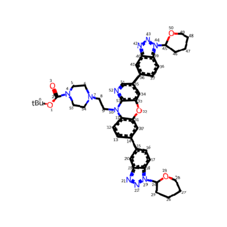 CC(C)(C)OC(=O)N1CCN(CCN2c3ccc(-c4ccc5c(c4)nnn5C4CCCCO4)cc3Oc3cc(-c4ccc5c(c4)nnn5C4CCCCO4)cnc32)CC1